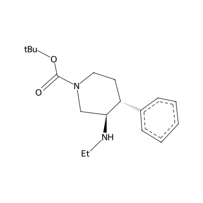 CCN[C@H]1CN(C(=O)OC(C)(C)C)CC[C@@H]1c1ccccc1